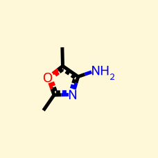 Cc1nc(N)c(C)o1